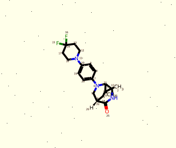 CC1(C)C[C@H]2CN(c3ccc(N4CCC(F)(F)CC4)cc3)C1CNC2=O